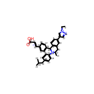 CCn1cc(-c2ccc3c(c2)CC(C)N(c2ccc(CC(C)C)cc2)C3c2ccc(/C=C/C(=O)O)cc2)cn1